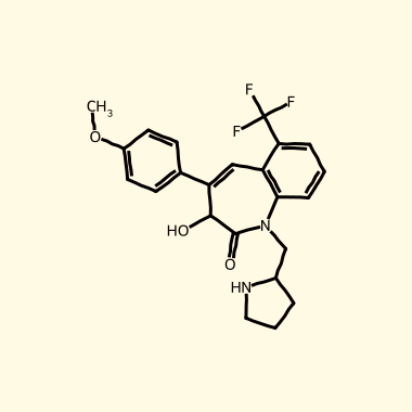 COc1ccc(C2=Cc3c(cccc3C(F)(F)F)N(CC3CCCN3)C(=O)C2O)cc1